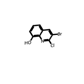 Oc1cccc2cc(Br)c(Cl)nc12